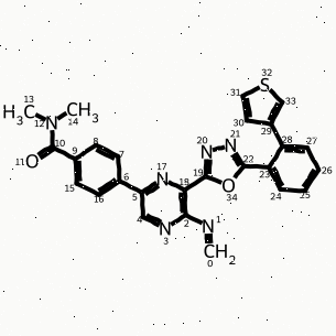 C=Nc1ncc(-c2ccc(C(=O)N(C)C)cc2)nc1-c1nnc(-c2ccccc2-c2ccsc2)o1